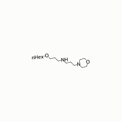 CCCCCCOCCCNCCCN1CCOCC1